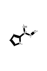 O=NB(O)c1cccs1